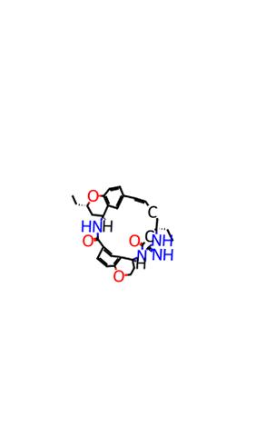 CC[C@H]1C[C@@H]2NC(=O)c3ccc4c(c3)[C@@H](CCO4)N3C(=N)N[C@](CC)(CC/C=C\c4ccc(c2c4)O1)CC3=O